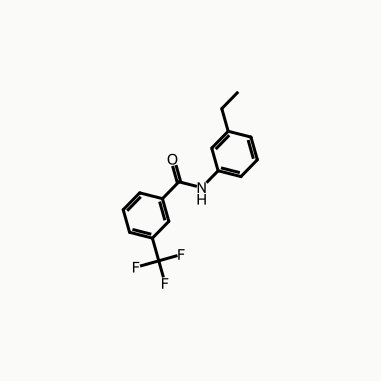 CCc1cccc(NC(=O)c2cccc(C(F)(F)F)c2)c1